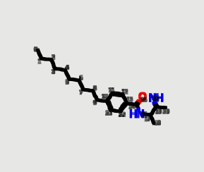 CCCCCCCCCCc1ccc(C(=O)NC(C)C(C)=N)cc1